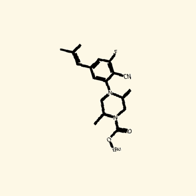 CC(C)=Cc1cc(F)c(C#N)c(N2CC(C)N(C(=O)OC(C)(C)C)CC2C)c1